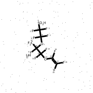 O=S(=O)(O)C(F)(F)C(F)(F)OC(F)(C(F)(F)F)C(F)(F)OC(F)=C(F)F.[LiH]